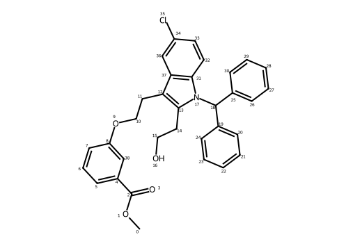 COC(=O)c1cccc(OCCc2c(CCO)n(C(c3ccccc3)c3ccccc3)c3ccc(Cl)cc23)c1